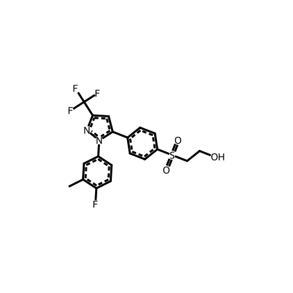 Cc1cc(-n2nc(C(F)(F)F)cc2-c2ccc(S(=O)(=O)CCO)cc2)ccc1F